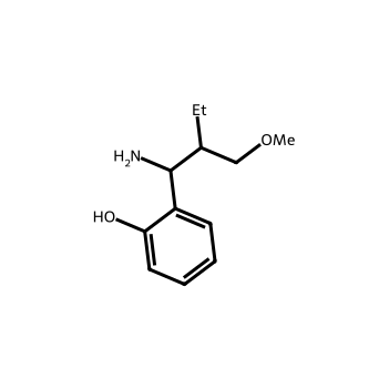 CCC(COC)C(N)c1ccccc1O